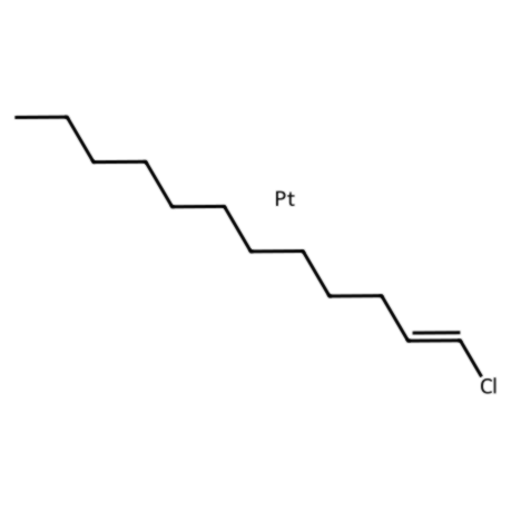 CCCCCCCCCCC=CCl.[Pt]